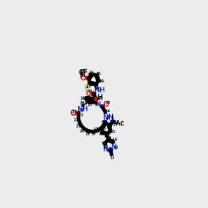 CC(=O)c1nn2c3c(cc(-c4cnc(C)nc4)cc13)CCCCCCC(=O)NC[C@]13C4C1[C@H]3N(C(=O)C2)[C@@H]4C(=O)Nc1cccc(OC(F)(F)F)c1F